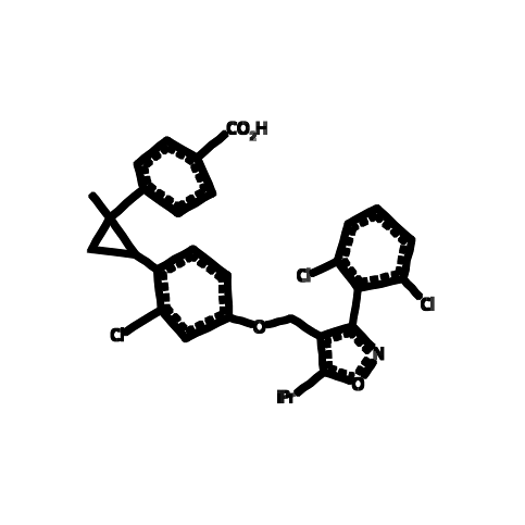 CC(C)c1onc(-c2c(Cl)cccc2Cl)c1COc1ccc(C2CC2(C)c2ccc(C(=O)O)cc2)c(Cl)c1